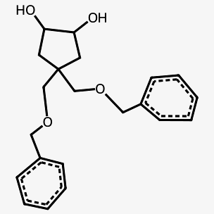 OC1CC(COCc2ccccc2)(COCc2ccccc2)CC1O